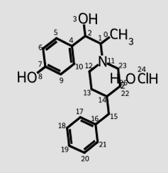 CC(C(O)c1ccc(O)cc1)N1CCC(Cc2ccccc2)CC1.Cl.O